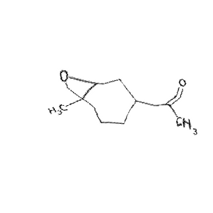 CC(=O)C1CCC2(C)OC2C1